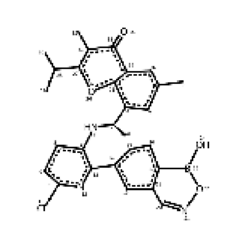 Cc1cc([C@@H](C)Nc2ccc(Cl)nc2-c2ccc3c(c2)C=NOB3O)c2oc(C(C)C)c(C)c(=O)c2c1